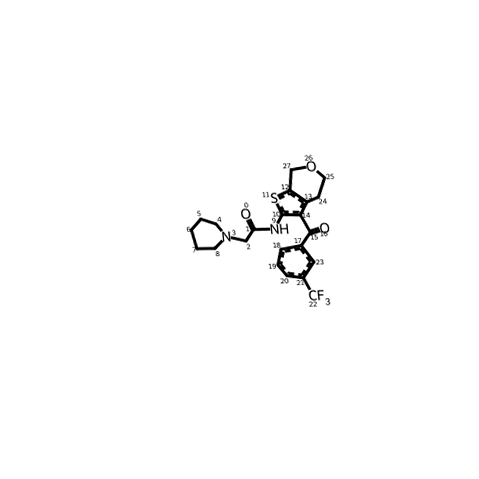 O=C(CN1CCCCC1)Nc1sc2c(c1C(=O)c1cccc(C(F)(F)F)c1)CCOC2